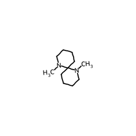 CN1CCCCC12CCCCN2C